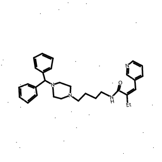 CCC(=Cc1cccnc1)C(=O)NCCCCN1CCN(C(c2ccccc2)c2ccccc2)CC1